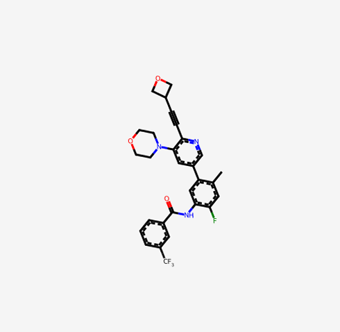 Cc1cc(F)c(NC(=O)c2cccc(C(F)(F)F)c2)cc1-c1cnc(C#CC2COC2)c(N2CCOCC2)c1